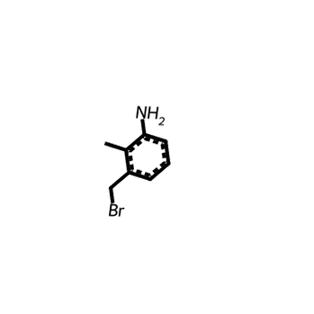 Cc1c(N)cccc1CBr